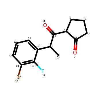 CC(C(=O)C1CCCC1=O)c1cccc(Br)c1F